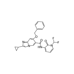 O=C(Nc1cccn(C(F)F)c1=O)c1cn2cc(C3CC3)nc2cc1OCc1ccccc1